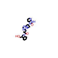 C=C(/C=C(\N=C/N)N1CCC(n2c(=O)[nH]c3ncccc32)CC1)C(=O)N1CC(CO)c2ccccc21